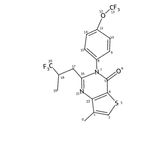 Cc1csc2c(=O)n(-c3ccc(OC(F)(F)F)cc3)c(CC(C)C(F)(F)F)nc12